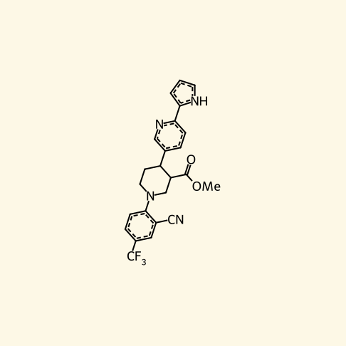 COC(=O)C1CN(c2ccc(C(F)(F)F)cc2C#N)CCC1c1ccc(-c2ccc[nH]2)nc1